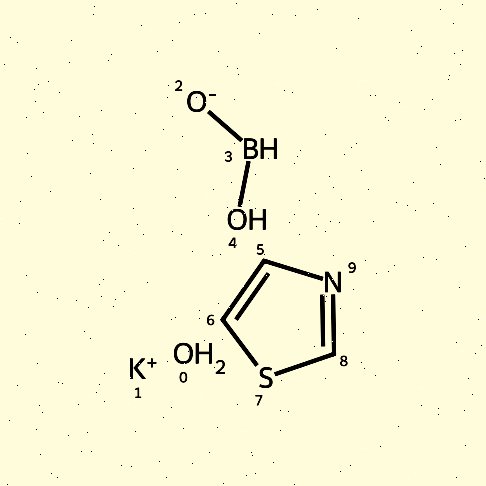 O.[K+].[O-]BO.c1cscn1